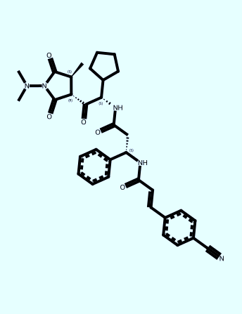 C[C@@H]1C(=O)N(N(C)C)C(=O)[C@H]1C(=O)[C@@H](NC(=O)C[C@H](NC(=O)C=Cc1ccc(C#N)cc1)c1ccccc1)C1CCCC1